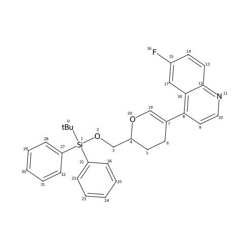 CC(C)(C)[Si](OCC1CCC(c2ccnc3ccc(F)cc23)=CO1)(c1ccccc1)c1ccccc1